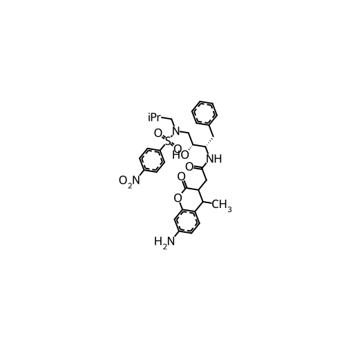 CC(C)CN(C[C@@H](O)[C@H](Cc1ccccc1)NC(=O)CC1C(=O)Oc2cc(N)ccc2C1C)S(=O)(=O)c1ccc([N+](=O)[O-])cc1